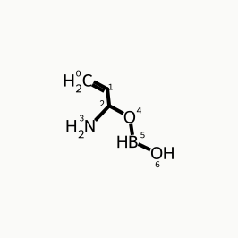 C=CC(N)OBO